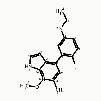 CCSc1ccc(F)c(-c2cc(C)[n+](OC)c3[nH]ccc23)c1